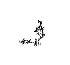 CC(C)C[C@@H](C(=O)N[C@@H](C)C(=O)N[C@@H](CCCCN=[N+]=[N-])C(=O)NCCO[SiH2]OC(C)(C)COCCCSCCC(=O)N[C@@H](CCCCNC(=O)CCCCC1SCC2NC(=O)NC21)C(=O)O)N(C)C